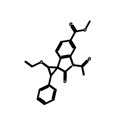 CCOC1C(c2ccccc2)C12C(=O)N(C(C)=O)c1cc(C(=O)OC)ccc12